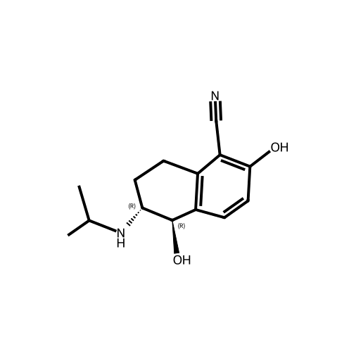 CC(C)N[C@@H]1CCc2c(ccc(O)c2C#N)[C@H]1O